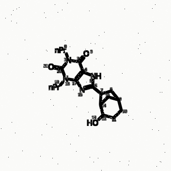 CCCn1c(=O)c2[nH]c(C3CC4CCC(O)C3C4)nc2n(CCC)c1=O